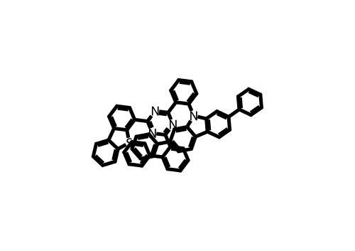 c1ccc(-c2ccc3c4ccc(-c5ccccc5)cc4n(-c4ccccc4-c4nc(-c5ccccc5-c5ccccc5)nc(-c5cccc6c5sc5ccccc56)n4)c3c2)cc1